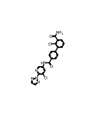 NC(=O)c1cccc(-c2ccc(C(=O)Nc3cnc(-n4nccn4)c(Cl)c3)cc2)c1Cl